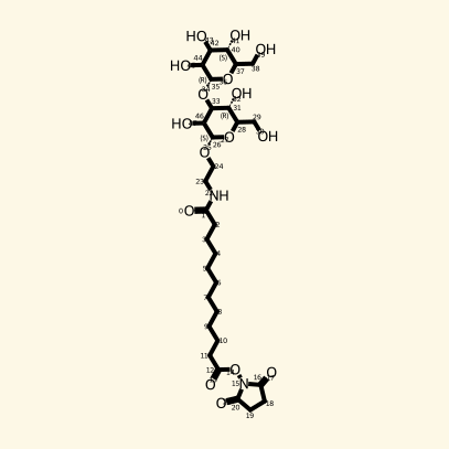 O=C(CCCCCCCCCCC(=O)ON1C(=O)CCC1=O)NCCO[C@H]1OC(CO)[C@@H](O)C(O[C@H]2OC(CO)[C@@H](O)C(O)C2O)C1O